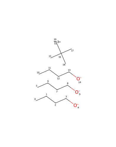 CCCC[O-].CCCC[O-].CCCC[O-].C[C](C)(C)[Ti+3]